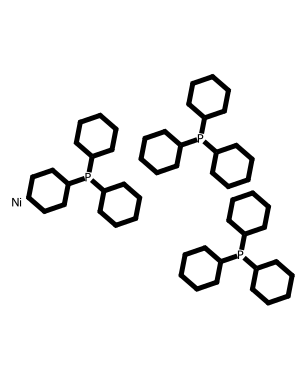 C1CCC(P(C2CCCCC2)C2CCCCC2)CC1.C1CCC(P(C2CCCCC2)C2CCCCC2)CC1.C1CCC(P(C2CCCCC2)C2CCCCC2)CC1.[Ni]